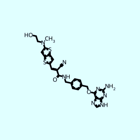 CN(CCO)c1cc2sc(/C=C(\C#N)C(=O)NCc3ccc(COc4nc(N)nc5[nH]cnc45)cc3)cc2s1